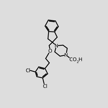 O=C(O)N1CCN(C2(COCCc3cc(Cl)cc(Cl)c3)Cc3ccccc3C2)CC1